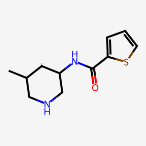 CC1[CH]C(NC(=O)c2cccs2)CNC1